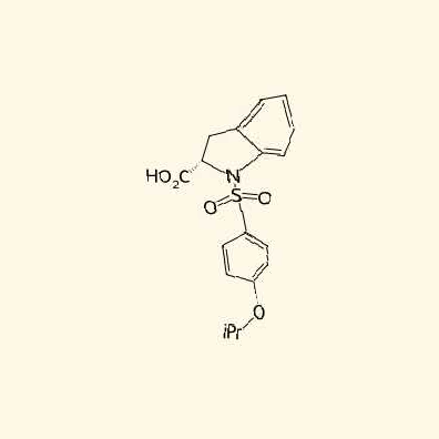 CC(C)Oc1ccc(S(=O)(=O)N2c3ccccc3C[C@H]2C(=O)O)cc1